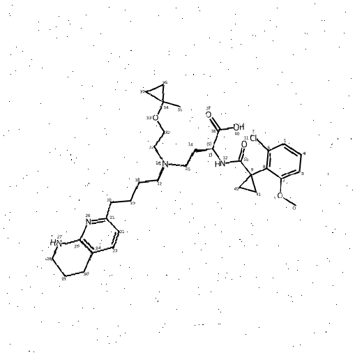 COc1cccc(Cl)c1C1(C(=O)N[C@@H](CCN(CCCCc2ccc3c(n2)NCCC3)CCOC2(C)CC2)C(=O)O)CC1